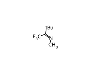 CN=C(C(C)(C)C)C(F)(F)F